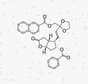 O=C1C[C@@H]2[C@@H](/C=C/C3(COC(=O)c4ccc5ccccc5c4)OCCO3)[C@H](OC(=O)c3ccccc3)C[C@@H]2O1